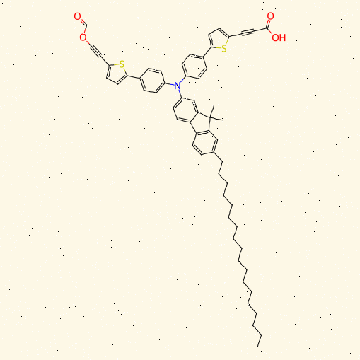 CCCCCCCCCCCCCCCCCCc1ccc2c(c1)C(C)(C)c1cc(N(c3ccc(-c4ccc(C#COC=O)s4)cc3)c3ccc(-c4ccc(C#CC(=O)O)s4)cc3)ccc1-2